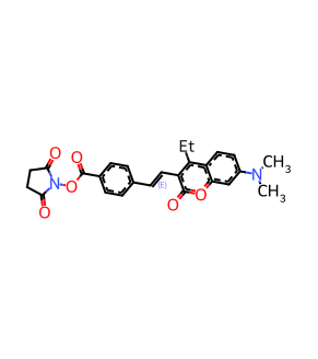 CCc1c(/C=C/c2ccc(C(=O)ON3C(=O)CCC3=O)cc2)c(=O)oc2cc(N(C)C)ccc12